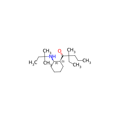 CCCC(C)(CC)C(=O)[C@H]1CCCC[C@H]1NC(C)(C)CC